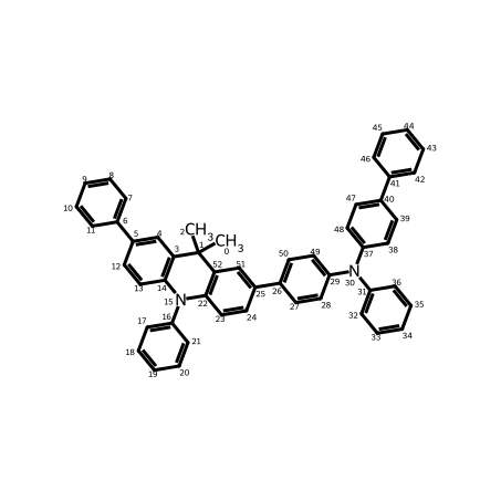 CC1(C)c2cc(-c3ccccc3)ccc2N(c2ccccc2)c2ccc(-c3ccc(N(c4ccccc4)c4ccc(-c5ccccc5)cc4)cc3)cc21